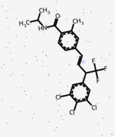 Cc1cc(/C=C/C(c2cc(Cl)c(Cl)c(Cl)c2)C(F)(F)F)ccc1C(=O)NC(C)C